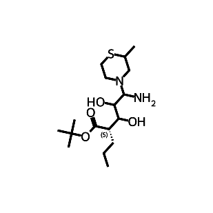 CCC[C@H](C(=O)OC(C)(C)C)C(O)C(O)C(N)N1CCSC(C)C1